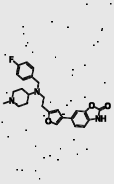 CN1CCC(N(CCc2cc(-c3ccc4[nH]c(=O)oc4c3)co2)Cc2ccc(F)cc2)CC1